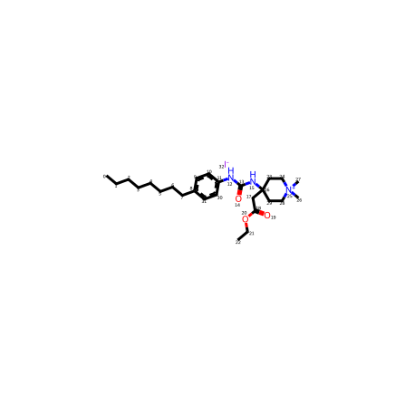 CCCCCCCCc1ccc(NC(=O)NC2(CC(=O)OCC)CC[N+](C)(C)CC2)cc1.[I-]